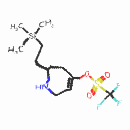 C[Si](C)(C)CCC1CC(OS(=O)(=O)C(F)(F)F)=CCN1